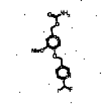 COc1cc(COC(N)=O)ccc1OCc1ccc(C(F)F)nc1